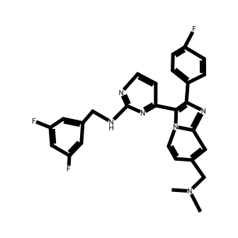 CN(C)Cc1ccn2c(-c3ccnc(NCc4cc(F)cc(F)c4)n3)c(-c3ccc(F)cc3)nc2c1